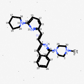 CCN1CCN(c2nc(/C=C/c3cccc(N4CCCCC4)n3)cc3ccccc23)CC1